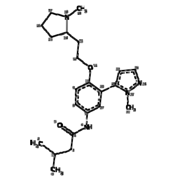 CC(C)CC(=O)Nc1ccc(OCCC2CCCN2C)c(-c2ccnn2C)c1